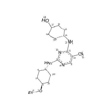 CCO[C@H]1CC[C@H](Nc2ncc(C#N)c(NC3CCC(O)CC3)n2)CC1